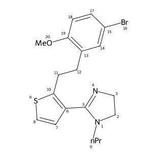 CCCN1CCN=C1c1ccsc1CCc1cc(Br)ccc1OC